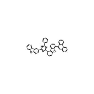 C1=Cc2oc3c(-c4cc5ccccc5c5ccccc45)cccc3c2C(c2nc(-c3ccccc3)nc(-c3ccc4oc5ccccc5c4c3)n2)C1